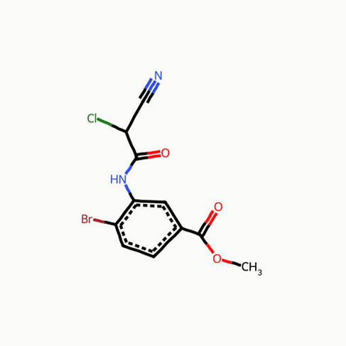 COC(=O)c1ccc(Br)c(NC(=O)C(Cl)C#N)c1